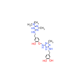 CC1N=C(NCCc2ccc(O)c(O)c2)NC(NCOc2ccc(CCNC3=NC(C)N=C(N(C)C)N3)cc2O)=N1